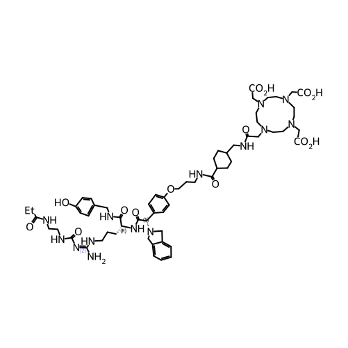 CCC(=O)NCCNC(=O)/N=C(/N)NCCC[C@@H](NC(=O)[C@H](c1ccc(OCCCNC(=O)C2CCC(CNC(=O)CN3CCN(CC(=O)O)CCN(CC(=O)O)CCN(CC(=O)O)CC3)CC2)cc1)N1Cc2ccccc2C1)C(=O)NCc1ccc(O)cc1